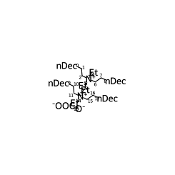 CCCCCCCCCCCC[N+](CC)(CC)CCCCCCCCCCCC.CCCCCCCCCCCC[N+](CC)(CC)CCCCCCCCCCCC.O=C([O-])[O-]